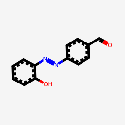 O=Cc1ccc(N=Nc2ccccc2O)cc1